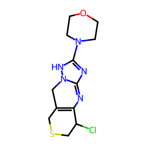 ClC1CSCC2=C1N=C1N=C(N3CCOCC3)NN1C2